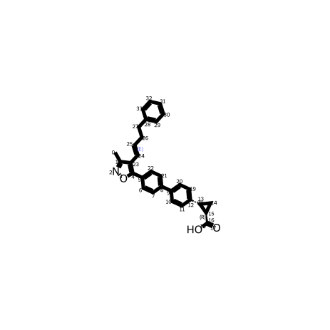 Cc1noc(-c2ccc(-c3ccc([C@@H]4C[C@H]4C(=O)O)cc3)cc2)c1/C=C/CCc1ccccc1